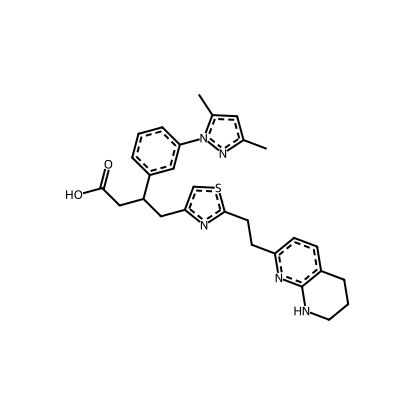 Cc1cc(C)n(-c2cccc(C(CC(=O)O)Cc3csc(CCc4ccc5c(n4)NCCC5)n3)c2)n1